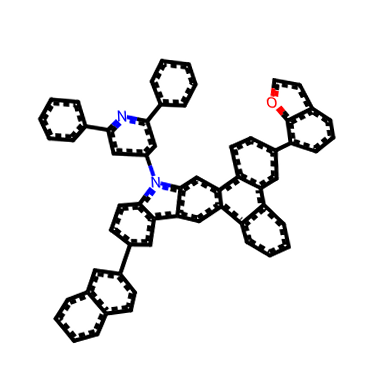 c1ccc(-c2cc(-n3c4ccc(-c5ccc6ccccc6c5)cc4c4cc5c6ccccc6c6cc(-c7cccc8ccoc78)ccc6c5cc43)cc(-c3ccccc3)n2)cc1